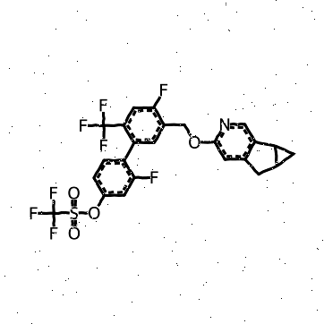 O=S(=O)(Oc1ccc(-c2cc(COc3cc4c(cn3)C3CC3C4)c(F)cc2C(F)(F)F)c(F)c1)C(F)(F)F